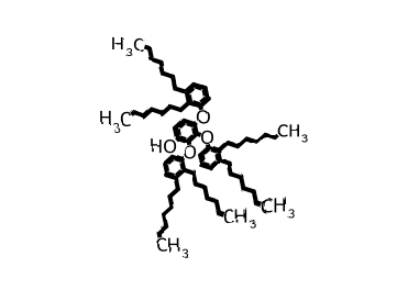 CCCCCCCc1cccc(Oc2ccc(O)c(Oc3cccc(CCCCCCC)c3CCCCCCC)c2Oc2cccc(CCCCCCC)c2CCCCCCC)c1CCCCCCC